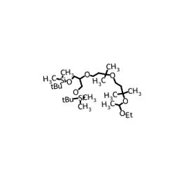 CCOC(C)OC(C)(C)CCOC(C)(C)CCOC(CO[Si](C)(C)C(C)(C)C)CO[Si](C)(C)C(C)(C)C